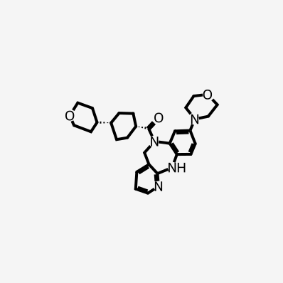 O=C([C@H]1CC[C@@H](C2CCOCC2)CC1)N1Cc2cccnc2Nc2ccc(N3CCOCC3)cc21